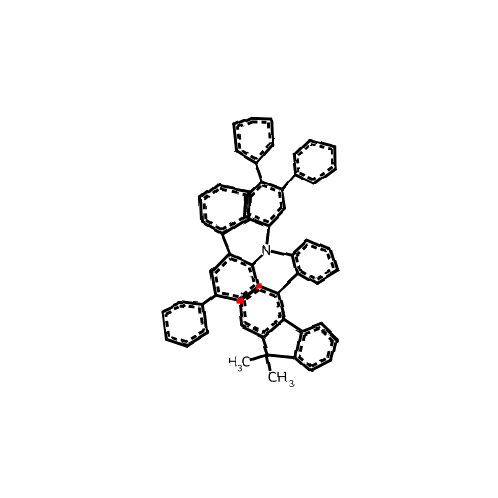 CC1(C)c2ccccc2-c2c(-c3ccccc3N(c3ccc(-c4ccccc4)c(-c4ccccc4)c3)c3ccc(-c4ccccc4)cc3-c3ccccc3)cccc21